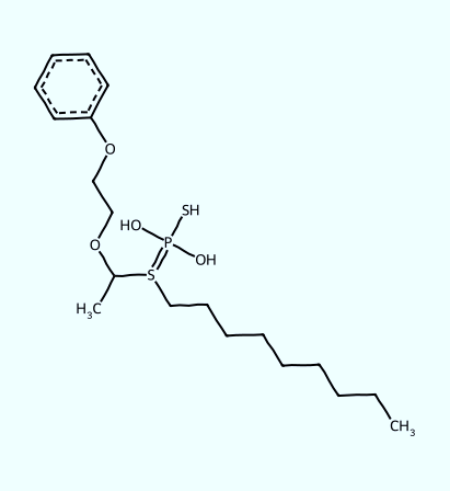 CCCCCCCCCS(C(C)OCCOc1ccccc1)=P(O)(O)S